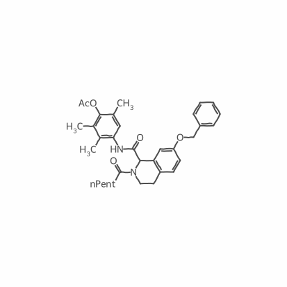 CCCCCC(=O)N1CCc2ccc(OCc3ccccc3)cc2C1C(=O)Nc1cc(C)c(OC(C)=O)c(C)c1C